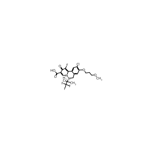 COCCCOc1cc2c(cc1Cl)-c1c(F)c(=O)c(C(=O)O)cn1N(C(C)(C)C(F)(F)F)C2